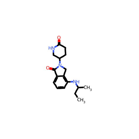 CCC(C)Nc1cccc2c1CN(C1CCC(=O)NC1)C2=O